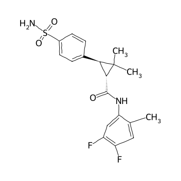 Cc1cc(F)c(F)cc1NC(=O)[C@@H]1[C@@H](c2ccc(S(N)(=O)=O)cc2)C1(C)C